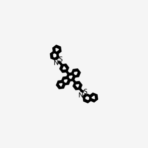 c1ccc2cc3c(-c4ccc(-c5nc6ccc7ccccc7c6s5)cc4)c4ccccc4c(-c4ccc(-c5nc6ccc7ccccc7c6s5)cc4)c3cc2c1